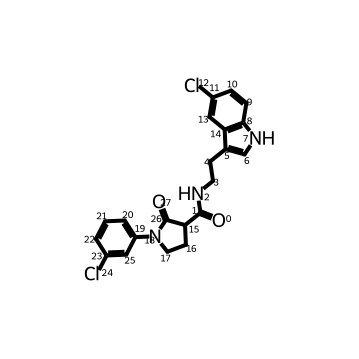 O=C(NCCc1c[nH]c2ccc(Cl)cc12)C1CCN(c2cccc(Cl)c2)C1=O